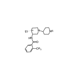 CC[C@@H]1CCN(C2CCNCC2)CC1NC(=O)c1ccccc1C